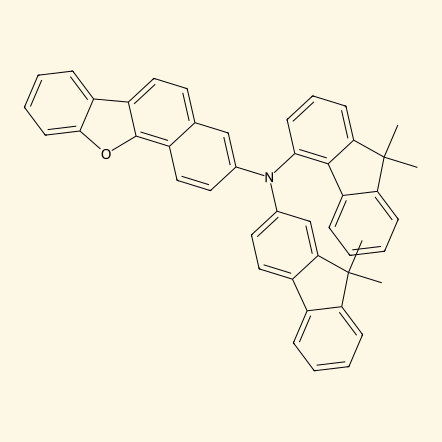 CC1(C)c2ccccc2-c2ccc(N(c3ccc4c(ccc5c6ccccc6oc45)c3)c3cccc4c3-c3ccccc3C4(C)C)cc21